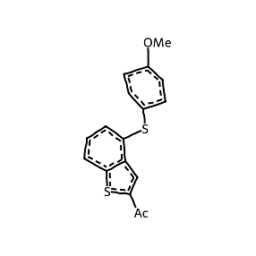 COc1ccc(Sc2cccc3sc(C(C)=O)cc23)cc1